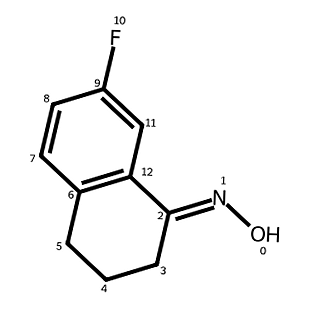 O/N=C1\CCCc2ccc(F)cc21